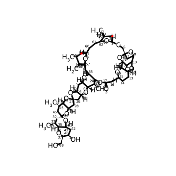 C=C1C[C@@H]2CC[C@]34CC(O3)C3O[C@H]5CC[C@H](CC(=O)O[C@@H]6[C@@H](C)[C@@H]7O[C@@H]8C[C@]9(C[C@@H]%10O[C@]%11(C[C@H](C)[C@@H]%12O[C@H](CO)[C@H](O)C[C@@H]%12O%11)C[C@H](C)[C@@H]%10O9)O[C@@H]8C[C@@H]7O[C@H]6C[C@H]6O[C@@H](CC[C@@H]1O2)C[C@@H](C)C6=C)O[C@@H]5[C@H](O4)C3C